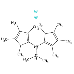 CC1=C(C)C(C)[C]([Hf]([C]2=C(C)C(C)=C(C)C2C)[SiH](C)C)=C1C.F.F